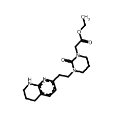 CCOC(=O)CN1CCCN(CCc2ccc3c(n2)NCCC3)C1=O